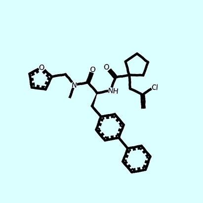 C=C(Cl)CC1(C(=O)N[C@@H](Cc2ccc(-c3ccccc3)cc2)C(=O)N(C)Cc2ccco2)CCCC1